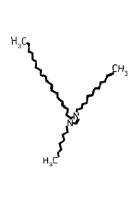 CCCCCCCCCCCCCCCCCCCC1N(CCCCCCCCC)C=CN1CCCCCCCCCCCCC